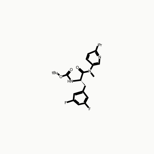 CC(C)c1ccc(N(C)C(=O)[C@H](Cc2cc(F)cc(F)c2)NC(=O)OC(C)(C)C)cn1